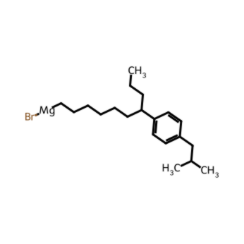 CCCC(CCCCC[CH2][Mg][Br])c1ccc(CC(C)C)cc1